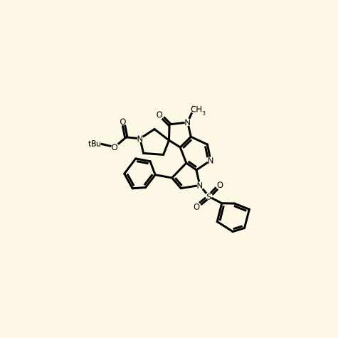 CN1C(=O)C2(CCN(C(=O)OC(C)(C)C)C2)c2c1cnc1c2c(-c2ccccc2)cn1S(=O)(=O)c1ccccc1